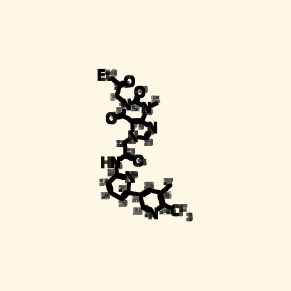 CCC(=O)Cn1c(=O)c2c(ncn2CC(=O)Nc2cccc(-c3cnc(C(F)(F)F)c(C)c3)n2)n(C)c1=O